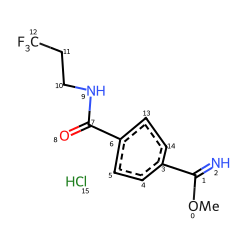 COC(=N)c1ccc(C(=O)NCCC(F)(F)F)cc1.Cl